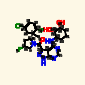 CC1([C@H]2C[C@H](F)CN2C(=O)c2n[nH]c3ncnc(N[C@@H]4CCC[C@@H](O)[C@H]4O)c23)CC(Cl)=CC=C1F